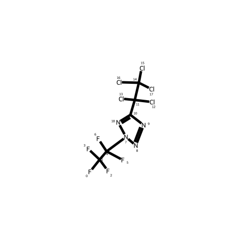 FC(F)(F)C(F)(F)n1nnc(C(Cl)(Cl)C(Cl)(Cl)Cl)n1